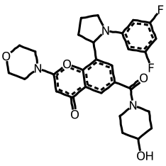 O=C(c1cc(C2CCCN2c2cc(F)cc(F)c2)c2oc(N3CCOCC3)cc(=O)c2c1)N1CCC(O)CC1